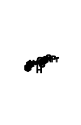 CC(C)Oc1ccc(S(=O)(=O)NCCCN2CCc3ccccc3C2)cc1